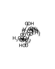 CC1C(OC(=O)CCCCCCCCC(=O)O)CC(C)(C)N(C)C1(C)C.CN1C(C)(C)CC(OC(=O)CCCCCCCCC(=O)O)CC1(C)C